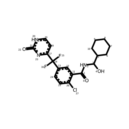 O=C(NC(O)C1CCCCC1)c1cc(C(F)(F)c2cc[nH]c(=O)n2)ccc1Cl